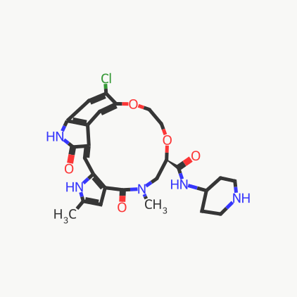 Cc1cc2c([nH]1)/C=C1\C(=O)Nc3cc(Cl)c(cc31)OCCO[C@@H](C(=O)NC1CCNCC1)CN(C)C2=O